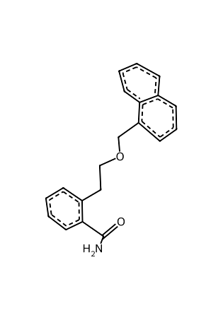 NC(=O)c1ccccc1CCOCc1cccc2ccccc12